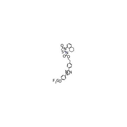 O=C(/N=C1\SCC(=O)N1c1cccc2c1CCCC2)OCCc1ccc(-c2ncn(-c3ccc(OC(F)(F)F)cc3)n2)cc1